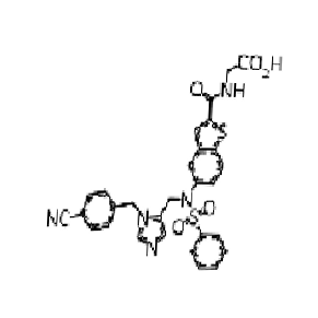 N#Cc1ccc(Cn2cncc2CN(c2ccc3sc(C(=O)NCC(=O)O)cc3c2)S(=O)(=O)c2ccccc2)cc1